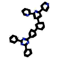 c1ccc(-c2nc(-c3ccccc3)nc(-c3ccc(-c4cccc(-c5cc(-c6ccncc6)nc(-c6ccccn6)c5)c4)cc3)n2)cc1